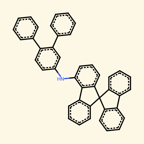 c1ccc(-c2ccc(Nc3cccc4c3-c3ccccc3C43c4ccccc4-c4ccccc43)cc2-c2ccccc2)cc1